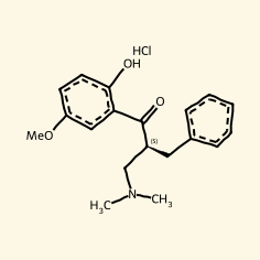 COc1ccc(O)c(C(=O)[C@@H](Cc2ccccc2)CN(C)C)c1.Cl